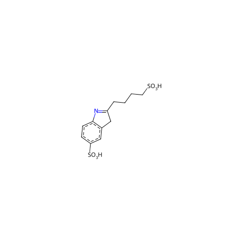 O=S(=O)(O)CCCCC1=Nc2ccc(S(=O)(=O)O)cc2C1